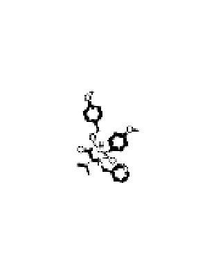 COc1ccc(CONC(=O)[C@@H](C(C)C)N(Cc2cccnc2)S(=O)(=O)c2ccc(OC)cc2)cc1